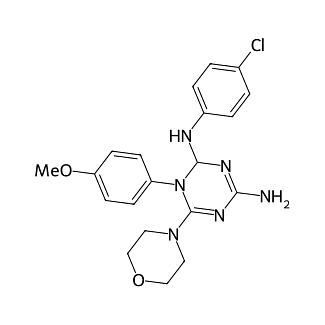 COc1ccc(N2C(N3CCOCC3)=NC(N)=NC2Nc2ccc(Cl)cc2)cc1